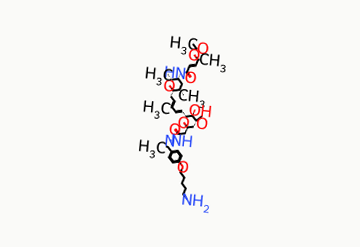 CC(=O)O[C@@H](C)C=CC(=O)N[C@@H]1C[C@H](C)[C@H](CC=C(C)C=C[C@H]2O[C@H](CC(=O)NN=C(C)c3ccc(OCCCCCN)cc3)C[C@@]3(CO3)[C@@H]2O)O[C@@H]1C